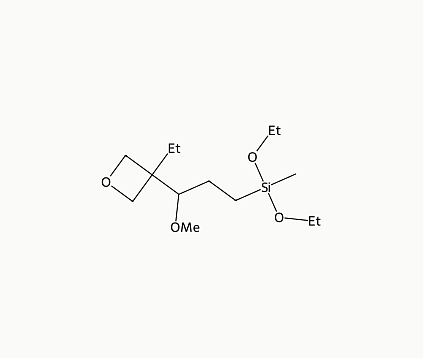 CCO[Si](C)(CCC(OC)C1(CC)COC1)OCC